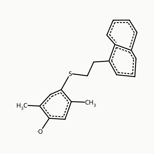 Cc1cc(SCCc2cccc3ccccc23)c(C)cc1[O]